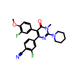 COc1ccc(-c2c(-c3ccc(C#N)c(F)c3)nc(N3CCCCC3)n(C)c2=O)cc1F